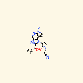 CC(O)c1nc2cnc3[nH]ccc3c2n1[C@H]1CCN(CCC#N)C1